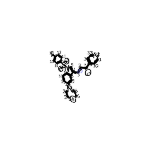 O=C(/C=C/c1cn(S(=O)(=O)c2ccc(I)cc2)c2ccc(N3CCOCC3)cc12)c1ccncc1